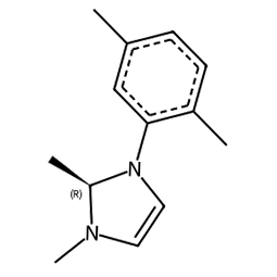 Cc1ccc(C)c(N2C=CN(C)[C@H]2C)c1